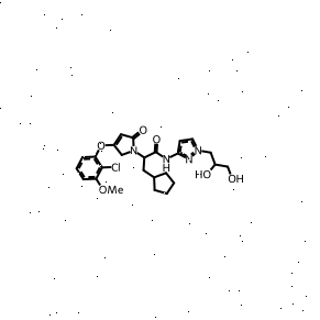 COc1cccc(OC2=CC(=O)N(C(CC3CCCC3)C(=O)Nc3ccn(CC(O)CO)n3)C2)c1Cl